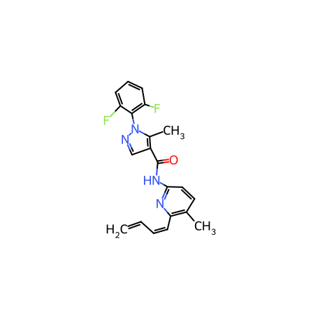 C=C/C=C\c1nc(NC(=O)c2cnn(-c3c(F)cccc3F)c2C)ccc1C